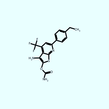 CCc1ccc(-c2cc(C(F)(F)F)c3c(N)c(OC(N)=O)sc3n2)cc1